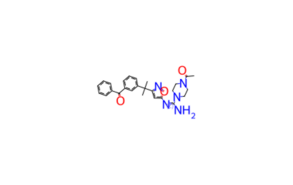 CC(=O)N1CCN(/C(N)=N\c2cc(C(C)(C)c3cccc(C(=O)c4ccccc4)c3)no2)CC1